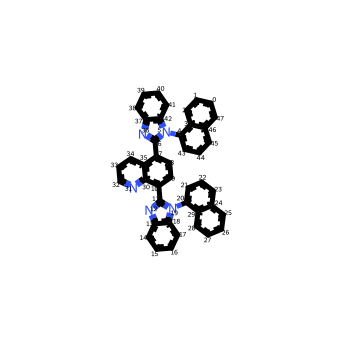 c1ccc2c(-n3c(-c4ccc(-c5nc6ccccc6n5-c5cccc6ccccc56)c5ncccc45)nc4ccccc43)cccc2c1